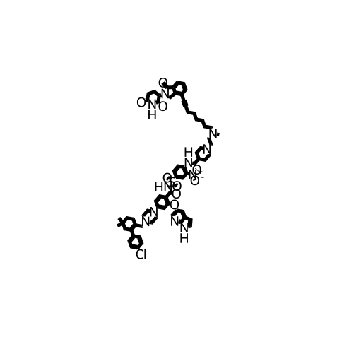 CN(CCCCCCC#Cc1cccc2c1CN(C1CCC(=O)NC1=O)C2=O)CCN1CCC(CNc2ccc(S(=O)(=O)NC(=O)c3ccc(N4CCN(CC5=C(c6ccc(Cl)cc6)CC(C)(C)CC5)CC4)cc3Oc3cnc4[nH]ccc4c3)cc2[N+](=O)[O-])CC1